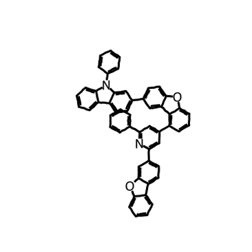 c1ccc(-c2cc(-c3cccc4oc5ccc(-c6ccc7c8ccccc8n(-c8ccccc8)c7c6)cc5c34)cc(-c3ccc4c(c3)oc3ccccc34)n2)cc1